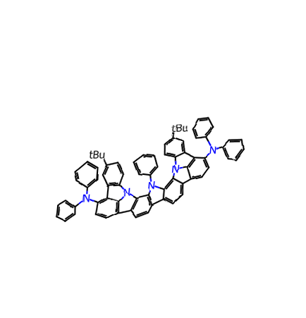 CC(C)(C)c1ccc2c(c1)c1c(N(c3ccccc3)c3ccccc3)ccc3c4ccc5c6ccc7c8ccc(N(c9ccccc9)c9ccccc9)c9c%10cc(C(C)(C)C)ccc%10n(c89)c7c6n(-c6ccccc6)c5c4n2c31